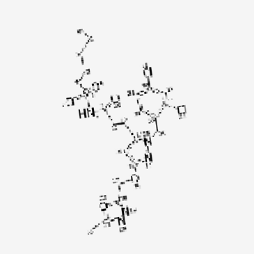 CCCCCS(=O)(=O)NC(=O)CCc1cc(OCc2nnc(C)o2)nn1Cc1ccc(Cl)cc1Cl